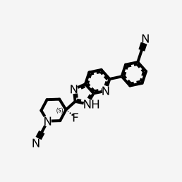 N#Cc1cccc(-c2ccc3nc([C@]4(F)CCCN(C#N)C4)[nH]c3n2)c1